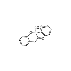 CCOC(=O)C1(c2ccccc2)Oc2ccccc2CC1=O